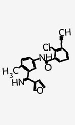 C#Cc1cccc(C(=O)Nc2ccc(C)c(C(=N)c3ccoc3)c2)c1Cl